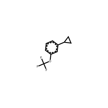 FC(F)(F)Oc1c[c]cc(C2CC2)c1